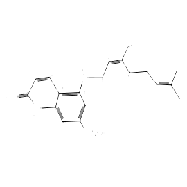 COc1cc(OCC=C(C)CCC=C(C)C)c2ccc(=O)oc2c1